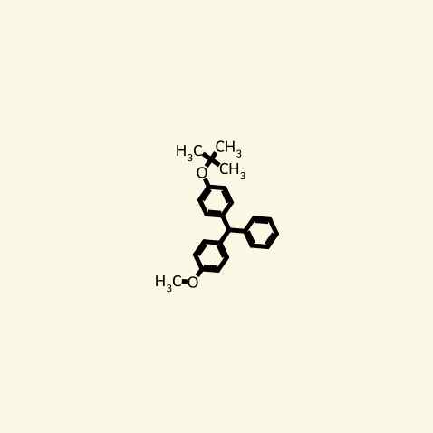 COc1ccc(C(c2ccccc2)c2ccc(OC(C)(C)C)cc2)cc1